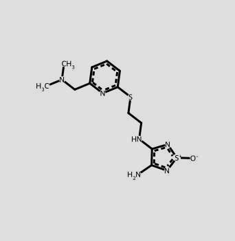 CN(C)Cc1cccc(SCCNc2n[s+]([O-])nc2N)n1